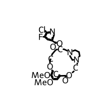 COc1cc2cc(c1OC)OCCCC(OC(=O)c1cnc(Cl)c(F)c1)CCN1CCCN(CCCOC2=O)CC1